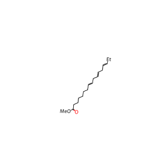 CCC=CCC=CCC=CCCCCCCC(=O)OC